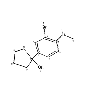 COc1ccc(C2(O)CCCC2)cc1Br